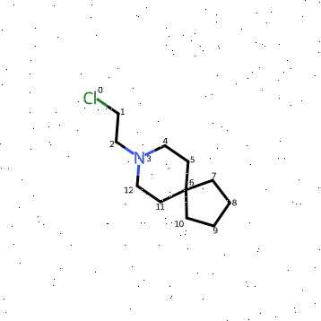 ClCCN1CCC2(CCCC2)CC1